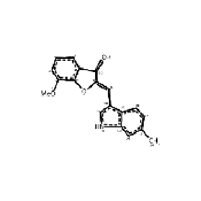 COc1cccc2c1OC(=Cc1c[nH]c3cc(C)ccc13)C2=O